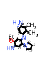 CCOC1=CC(=Nc2ccc(N)c(C)c2C)C(N2CCCC2)=CC1=N